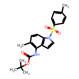 Cc1ccc(S(=O)(=O)n2ccc3c(NC(=O)OC(C)(C)C)c(C)ccc32)cc1